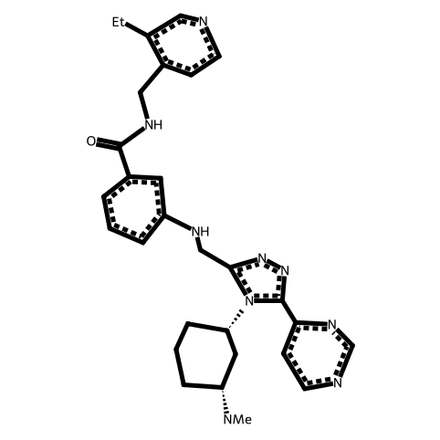 CCc1cnccc1CNC(=O)c1cccc(NCc2nnc(-c3ccncn3)n2[C@H]2CCC[C@@H](NC)C2)c1